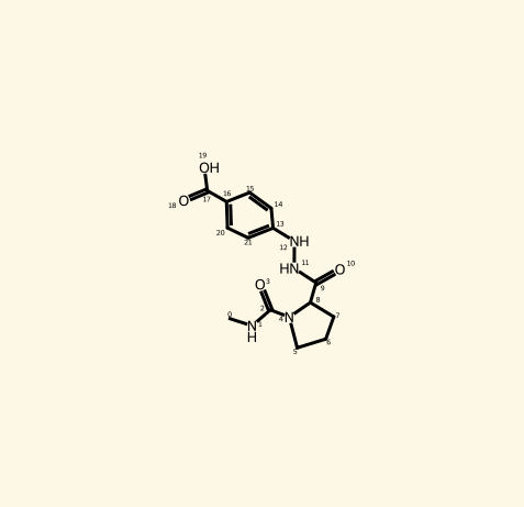 CNC(=O)N1CCCC1C(=O)NNc1ccc(C(=O)O)cc1